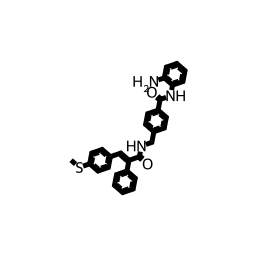 CSc1ccc(/C=C(/C(=O)NCc2ccc(C(=O)Nc3ccccc3N)cc2)c2ccccc2)cc1